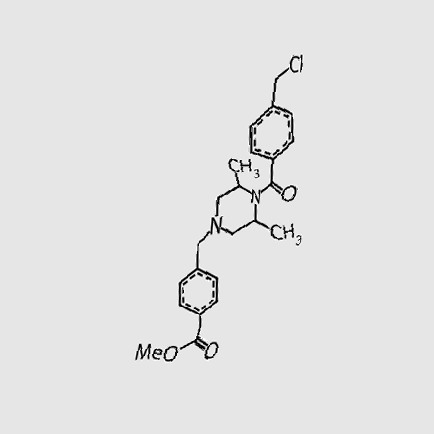 COC(=O)c1ccc(CN2CC(C)N(C(=O)c3ccc(CCl)cc3)C(C)C2)cc1